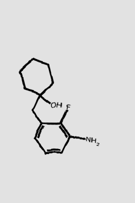 Nc1cccc(CC2(O)CCCCC2)c1F